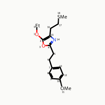 CCOc1oc(CCc2ccc(OC)cc2)nc1CCSC